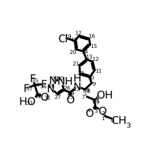 CCOC(=O)[C@H](O)C[C@@H](Cc1ccc(-c2cccc(Cl)c2)cc1)NC(=O)c1cnn[nH]1.O=C(O)C(F)(F)F